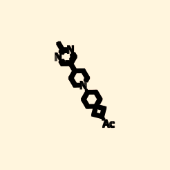 Cc1ncc(C2CCN([C@H]3CCC4(CC3)C[C@H](C(C)=O)C4)CC2)cn1